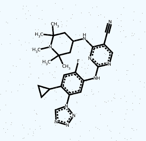 CN1C(C)(C)CC(Nc2nc(Nc3cc(-n4cnnn4)c(C4CC4)cc3F)ncc2C#N)CC1(C)C